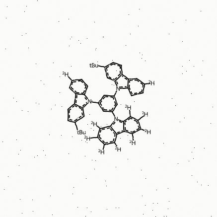 [2H]c1ccc2c(c1)c1ccc(C(C)(C)C)cc1n2-c1cc(-n2c3ccc([2H])cc3c3ccc(C(C)(C)C)cc32)cc(-n2c3c([2H])c([2H])c([2H])c([2H])c3c3c([2H])c([2H])c([2H])c([2H])c32)c1